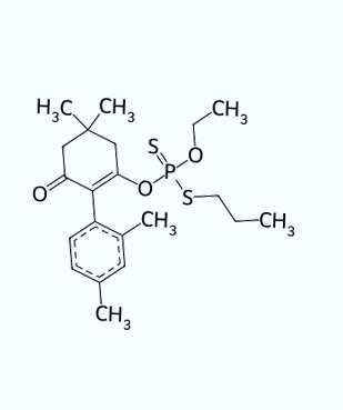 CCCSP(=S)(OCC)OC1=C(c2ccc(C)cc2C)C(=O)CC(C)(C)C1